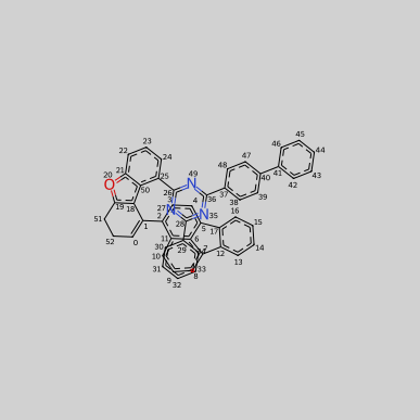 C1=C(c2ccc3c4c(cccc24)-c2ccccc2-3)c2c(oc3cccc(-c4nc(-c5ccccc5)nc(-c5ccc(-c6ccccc6)cc5)n4)c23)CC1